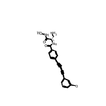 NC[C@H](NC(=O)c1ccc(C#CC#Cc2cccc(Cl)c2)cc1)C(=O)NO